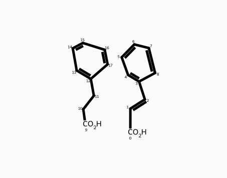 O=C(O)/C=C/c1ccccc1.O=C(O)CCc1ccccc1